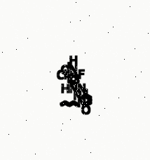 CCCCCn1c(=O)ccc2cnc(Nc3cc(F)c(NC(C)=O)c(Cl)c3)nc21